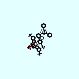 CC(C)(C)c1ccc2c(c1)c1cc(C(C)(C)C)ccc1n2-c1c(C#N)cc2oc3c(-c4cc(-c5ccccc5)nc(-c5ccccc5)n4)cccc3c2c1-n1c2ccc(C(C)(C)C)cc2c2cc(C(C)(C)C)ccc21